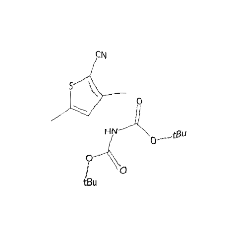 CC(C)(C)OC(=O)NC(=O)OC(C)(C)C.Cc1cc(C)c(C#N)s1